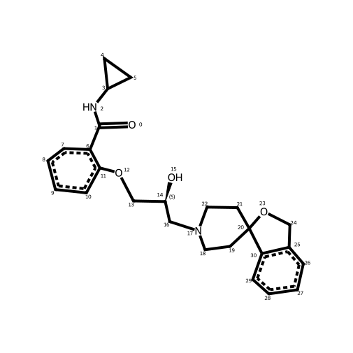 O=C(NC1CC1)c1ccccc1OC[C@@H](O)CN1CCC2(CC1)OCc1ccccc12